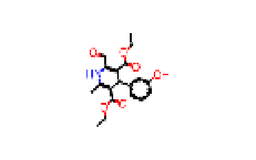 CCOC(=O)C1=C(C)NC(C=O)=C(C(=O)OCC)C1c1cccc(O)c1